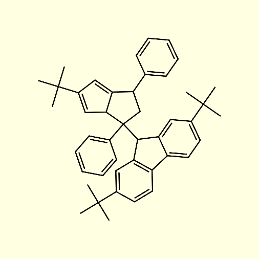 CC(C)(C)C1=CC2C(=C1)C(c1ccccc1)CC2(c1ccccc1)C1c2cc(C(C)(C)C)ccc2-c2ccc(C(C)(C)C)cc21